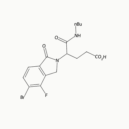 CCCCNC(=O)C(CCC(=O)O)N1Cc2c(ccc(Br)c2F)C1=O